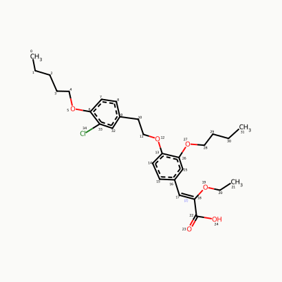 CCCCCOc1ccc(CCOc2ccc(/C=C(\OCC)C(=O)O)cc2OCCCC)cc1Cl